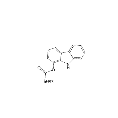 CCCCCCC(=O)Oc1cccc2c1[nH]c1ccccc12